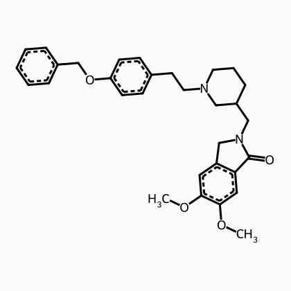 COc1cc2c(cc1OC)C(=O)N(CC1CCCN(CCc3ccc(OCc4ccccc4)cc3)C1)C2